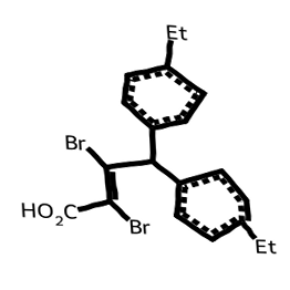 CCc1ccc(C(/C(Br)=C(\Br)C(=O)O)c2ccc(CC)cc2)cc1